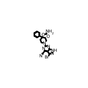 N#Cc1nc(N2CCC(OC(N)=O)(c3ccccc3)CC2)nc2[nH]nc(Br)c12